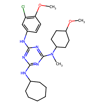 COc1ccc(Nc2nc(NC3CCCCCC3)nc(N(C)C3CCC(OC)CC3)n2)cc1Cl